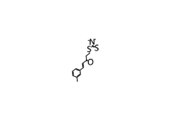 Cc1cccc(/C=C/C(=O)CCSC(=S)N(C)C)c1